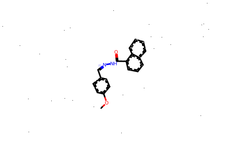 COc1ccc(/C=N\NC(=O)c2cccc3ccccc23)cc1